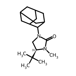 CN1C(=O)N(C2C3CC4CC(C3)CC2C4)C[C@@H]1C(C)(C)C